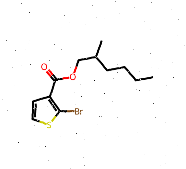 CCCCC(C)COC(=O)c1ccsc1Br